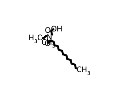 CCCCCCCCCCCCCC(=O)N(CC(=O)O)CC(C)C